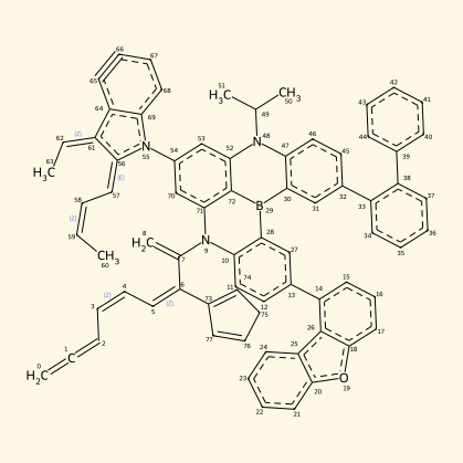 C=C=C/C=C\C=C(/C(=C)N1c2ccc(-c3cccc4oc5ccccc5c34)cc2B2c3cc(-c4ccccc4-c4ccccc4)ccc3N(C(C)C)c3cc(-n4c(=C/C=C\C)/c(=C\C)c5c#cccc54)cc1c32)C1=CCC=C1